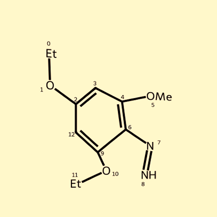 CCOc1cc(OC)c(N=N)c(OCC)c1